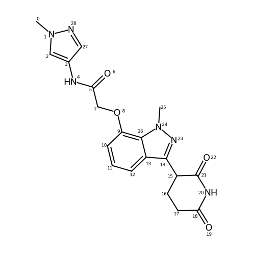 Cn1cc(NC(=O)COc2cccc3c(C4CCC(=O)NC4=O)nn(C)c23)cn1